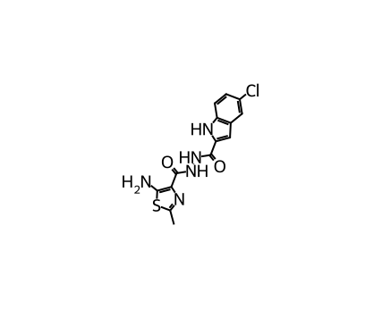 Cc1nc(C(=O)NNC(=O)c2cc3cc(Cl)ccc3[nH]2)c(N)s1